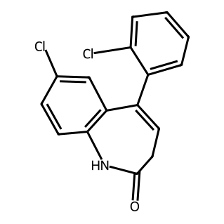 O=C1CC=C(c2ccccc2Cl)c2cc(Cl)ccc2N1